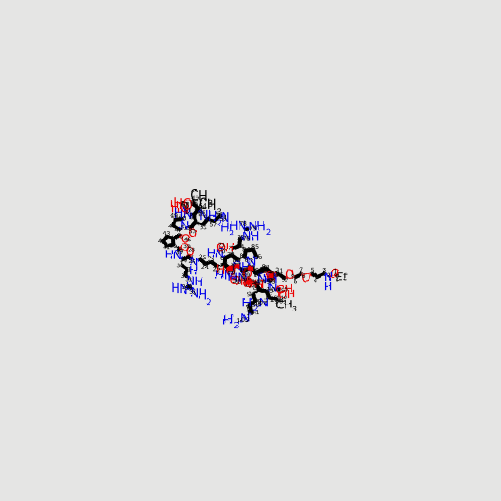 CCONCCCOCCOCCOCCCC(CC(NO)[C@@H](CCCCNC(=O)[C@H](CCCNC(=N)N)NC(=O)[C@@H]1CCCC1C(=O)[C@@H]1CCCN1C(=O)[C@H](CCCCN)C(NO)[C@@](C)(N)[C@@H](C)O)C(NO)[C@H](CCCNC(=N)N)C(NO)[C@@H]1CCCN1C(=O)[C@@H]1CCCN1C(=O)[C@H](CCCCN)C(NO)[C@@H](N)[C@@H](C)O)NO